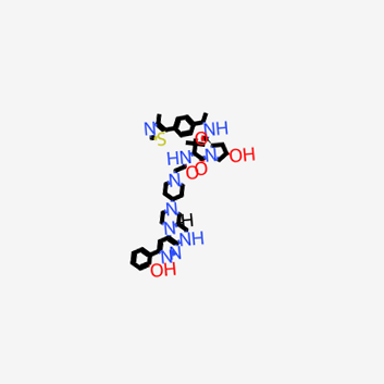 Cc1ncsc1-c1ccc(C(C)NC(=O)[C@@H]2C[C@@H](O)CN2C(=O)C(NC(=O)CN2CCC(N3CCN4c5cc(-c6ccccc6O)nnc5NC[C@@H]4C3)CC2)C(C)(C)C)cc1